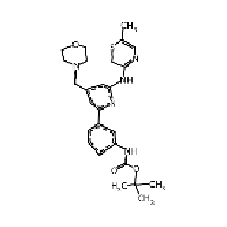 CC1=CN=C(Nc2cc(CN3CCOCC3)cc(-c3cccc(NC(=O)OC(C)(C)C)c3)n2)CS1